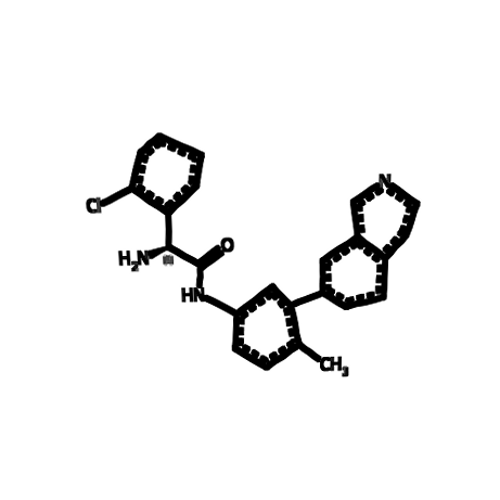 Cc1ccc(NC(=O)[C@@H](N)c2ccccc2Cl)cc1-c1ccc2ccncc2c1